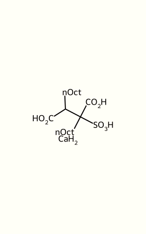 CCCCCCCCC(C(=O)O)C(CCCCCCCC)(C(=O)O)S(=O)(=O)O.[CaH2]